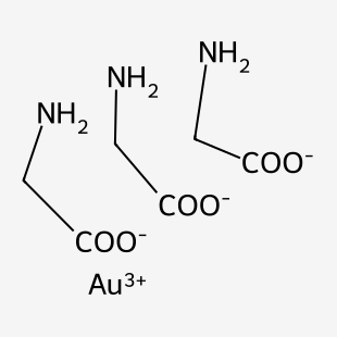 NCC(=O)[O-].NCC(=O)[O-].NCC(=O)[O-].[Au+3]